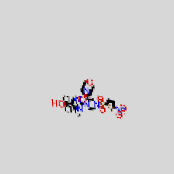 CC(C)(O)c1cnc(N2CCN(S(=O)(=O)c3ccc([N+](=O)[O-])s3)C[C@@H]2CN2C3COCC2CC(O)C3)nc1